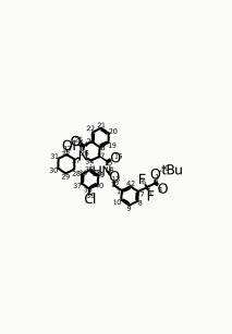 CC(C)(C)OC(=O)C(F)(F)c1cccc(CONC(=O)[C@@H]2c3ccccc3C(=O)N([C@H]3CCCC[C@@H]3O)[C@H]2c2ccc(Cl)cc2)c1